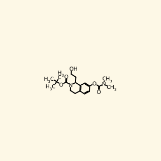 CN(C)C(=O)Oc1ccc2c(c1)C(CCO)N(C(=O)OC(C)(C)C)CC2